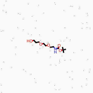 CC(C)(C)OC(=O)NCCOCCOCCCO